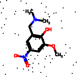 COc1cc([N+](=O)[O-])cc(CN(C)C)c1O